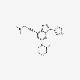 CC1COCCN1c1cc(C#CCN(C)C)c2cnn(-c3cc[nH]n3)c2n1